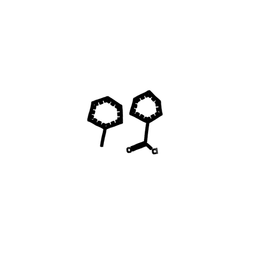 Cc1ccccc1.O=C(Cl)c1ccccc1